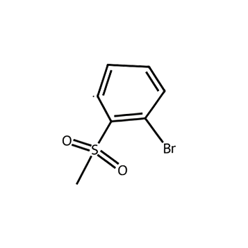 CS(=O)(=O)c1[c]cccc1Br